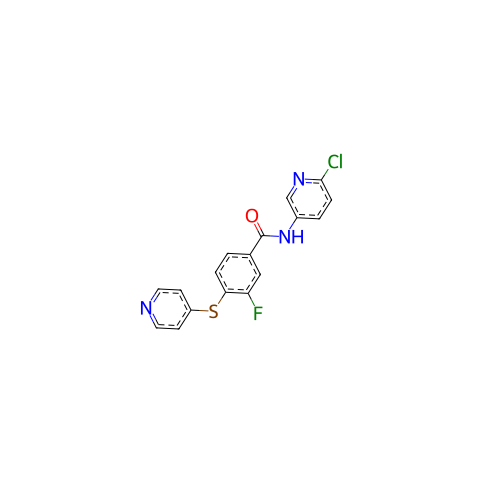 O=C(Nc1ccc(Cl)nc1)c1ccc(Sc2ccncc2)c(F)c1